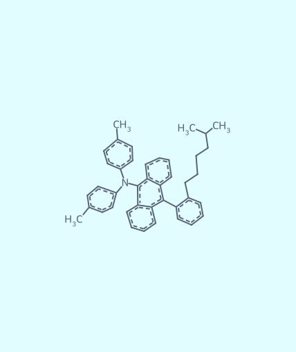 Cc1ccc(N(c2ccc(C)cc2)c2c3ccccc3c(-c3ccccc3CCCCC(C)C)c3ccccc23)cc1